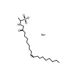 CCCCCCCC/C=C\CCCCCCCC(=O)CNC(C)S(=O)(=O)[O-].[Na+]